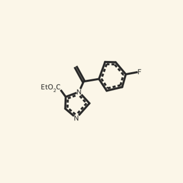 C=C(c1ccc(F)cc1)n1cncc1C(=O)OCC